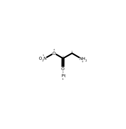 NCC(=O)O[N+](=O)[O-].[Pt]